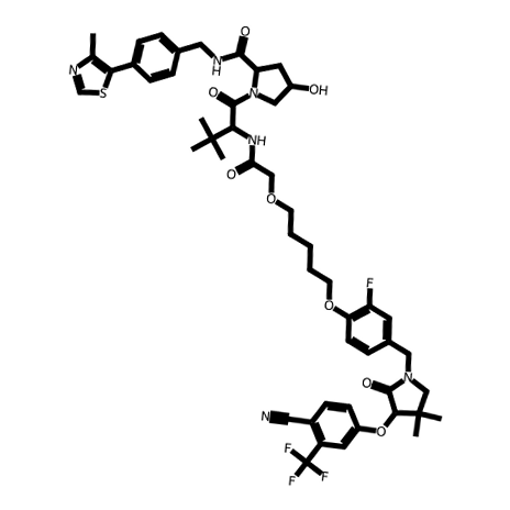 Cc1ncsc1-c1ccc(CNC(=O)C2CC(O)CN2C(=O)C(NC(=O)COCCCCCOc2ccc(CN3CC(C)(C)C(Oc4ccc(C#N)c(C(F)(F)F)c4)C3=O)cc2F)C(C)(C)C)cc1